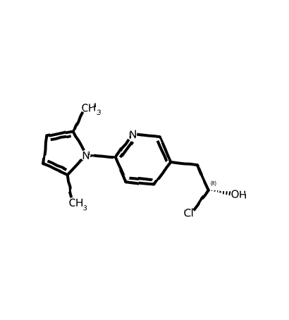 Cc1ccc(C)n1-c1ccc(C[C@H](O)Cl)cn1